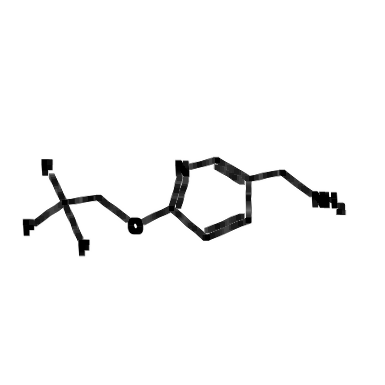 NCc1ccc(OCC(F)(F)F)nc1